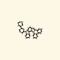 c1cncc(-c2cccc(-n3c4ccccc4c4c3ccc3cc5c6ccccc6c6ccccc6n5c34)n2)c1